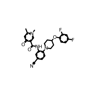 Cc1cc(=O)c(C(=O)Nc2cc(C#N)ccc2N2CCC(Oc3ccc(F)cc3F)CC2)cn1C